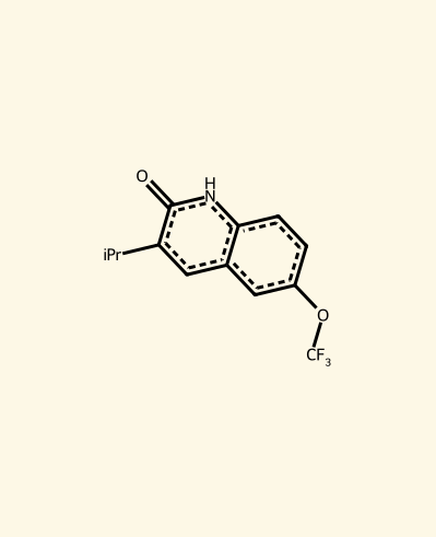 CC(C)c1cc2cc(OC(F)(F)F)ccc2[nH]c1=O